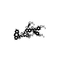 COCCOCCN(CCC(=O)N(CCCS(=O)(=O)O)CCC(=O)N1Cc2ccccc2C#Cc2ccccc21)C(=O)c1ccc(C(=O)C(CCc2ccc(C)cc2)CS(=O)(=O)c2ccc(C)cc2)cc1